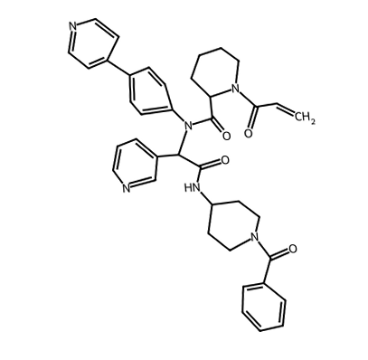 C=CC(=O)N1CCCCC1C(=O)N(c1ccc(-c2ccncc2)cc1)C(C(=O)NC1CCN(C(=O)c2ccccc2)CC1)c1cccnc1